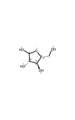 OC[C@H]1OC(O)[C@@H](O)[C@@H]1O